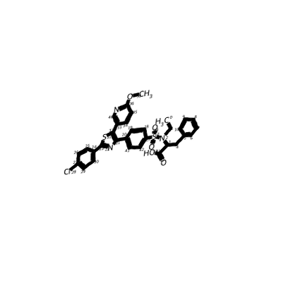 CCN(C(Cc1ccccc1)C(=O)O)S(=O)(=O)c1ccc(-c2nc(-c3ccc(Cl)cc3)sc2-c2ccc(OC)nc2)cc1